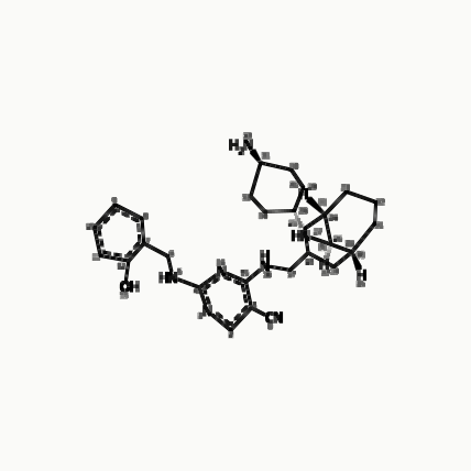 N#Cc1cnc(NCc2ccccc2O)nc1NCC1C[C@H]2CCC[C@@H](C1)[C@@H]2N[C@H]1CC[C@H](N)CC1